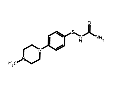 CN1CCN(c2ccc(SNC(N)=O)cc2)CC1